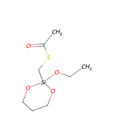 CCO[Si]1(CSC(C)=O)OCCCO1